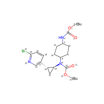 CC(C)(C)OC(=O)NC1CCC(N(C(=O)OC(C)(C)C)[C@H]2C[C@@H]2c2ccc(Br)nc2)CC1